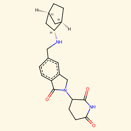 O=C1CCC(N2Cc3cc(CN[C@@H]4C[C@H]5CC[C@@H]4C5)ccc3C2=O)C(=O)N1